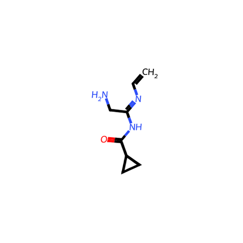 C=C/N=C(\CN)NC(=O)C1CC1